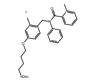 CCCCCCCCCCCCCCOc1ccc(CN(C(=O)c2cccc[n+]2C)c2ccccc2)c(C)c1.[I-]